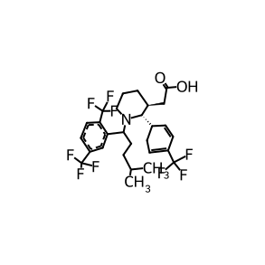 CC(C)CCC(c1cc(C(F)(F)F)ccc1C(F)(F)F)N1CCC[C@@H](CC(=O)O)[C@@H]1C1C=CC(C(F)(F)F)=CC1